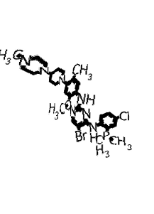 COc1cc(N2CCC(N3CCN(C)CC3)CC2)c(C)cc1Nc1ncc(Br)c(Nc2ccc(Cl)cc2P(C)C)n1